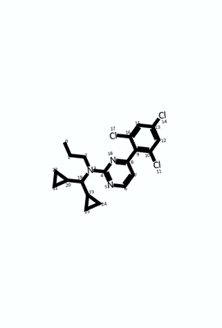 CCCN(c1nccc(-c2c(Cl)cc(Cl)cc2Cl)n1)C(C1CC1)C1CC1